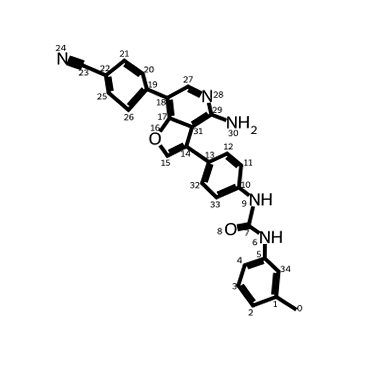 Cc1cccc(NC(=O)Nc2ccc(-c3coc4c(-c5ccc(C#N)cc5)cnc(N)c34)cc2)c1